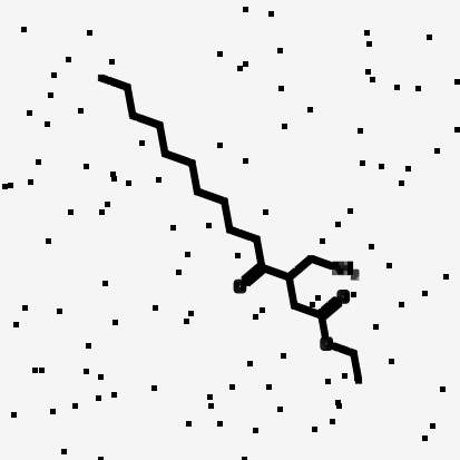 CCCCCCCCCCC(=O)C(CN)CC(=O)OCC